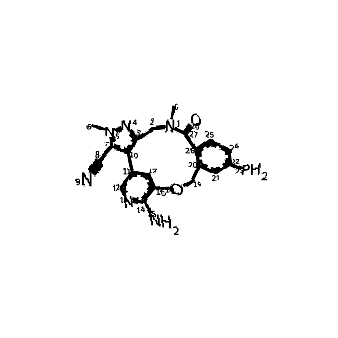 CN1Cc2nn(C)c(C#N)c2-c2cnc(N)c(c2)OCc2cc(P)ccc2C1=O